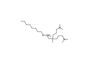 CCCCCCCCO[SiH2]CC(C)(CCCN(C)C)CCCN(C)C